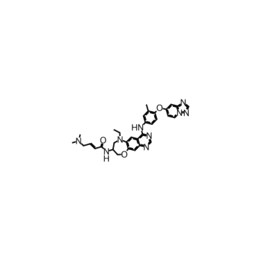 CCN1CC(NC(=O)/C=C/CN(C)C)COc2cc3ncnc(Nc4ccc(Oc5ccn6ncnc6c5)c(C)c4)c3cc21